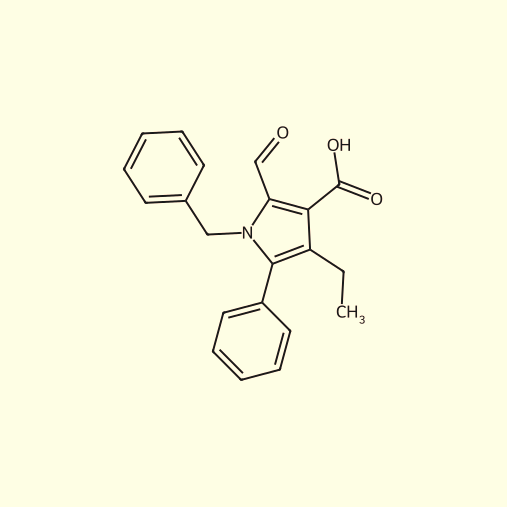 CCc1c(C(=O)O)c(C=O)n(Cc2ccccc2)c1-c1ccccc1